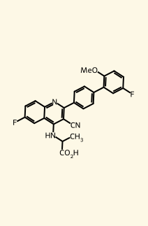 COc1ccc(F)cc1-c1ccc(-c2nc3ccc(F)cc3c(NC(C)C(=O)O)c2C#N)cc1